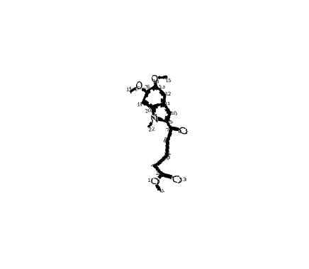 COC(=O)CCCC(=O)c1cc2cc(OC)c(OC)cc2n1C